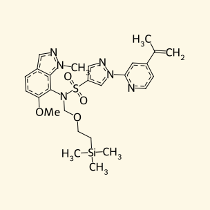 C=C(C)c1ccnc(-n2cc(S(=O)(=O)N(COCC[Si](C)(C)C)c3c(OC)ccc4cnn(C)c34)cn2)c1